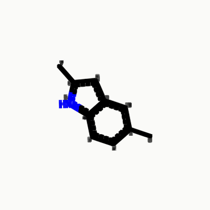 Cc1ccc2[nH]c(C)[c]c2c1